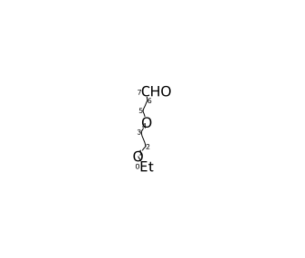 CCOCCOCCC=O